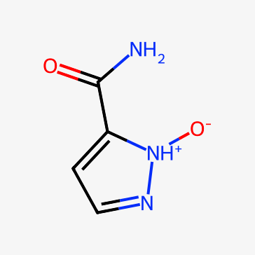 NC(=O)C1=CC=N[NH+]1[O-]